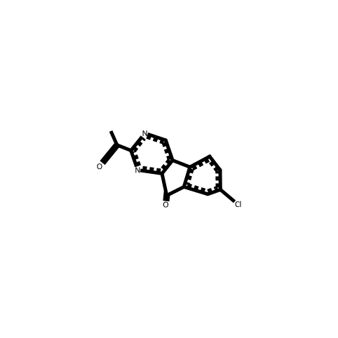 CC(=O)c1ncc2c(n1)C(=O)c1cc(Cl)ccc1-2